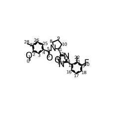 COc1cc(C(=O)N2CCC[C@H]2c2nc(-c3cccc(F)c3C)no2)ccc1C